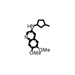 COc1cc2cc(NC3CCC(C)C3)cnc2cc1OC